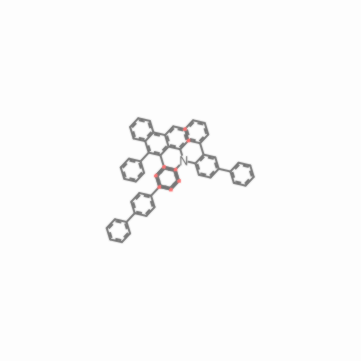 c1ccc(-c2ccc(-c3ccc(N(c4ccc(-c5ccccc5)cc4-c4ccccc4)c4cccc5c4c(-c4ccccc4)c(-c4ccccc4)c4ccccc45)cc3)cc2)cc1